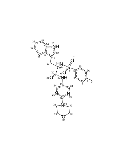 Cc1ccc(S(=O)(=O)NC(Cc2c[nH]c3ccccc23)C(=O)Nc2cnc(N3CCOCC3)nc2)cc1